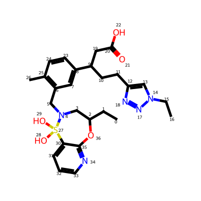 CCC1CN(Cc2cc(C(CCc3cn(CC)nn3)CC(=O)O)ccc2C)S(O)(O)c2cccnc2O1